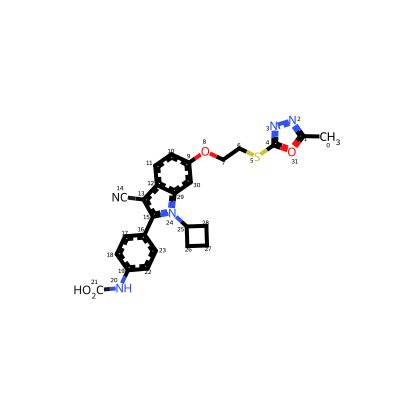 Cc1nnc(SCCOc2ccc3c(C#N)c(-c4ccc(NC(=O)O)cc4)n(C4CCC4)c3c2)o1